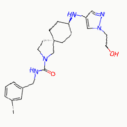 Cc1cccc(CNC(=O)N2CC[C@]3(CC[C@H](Nc4cnn(CCO)c4)CC3)C2)c1